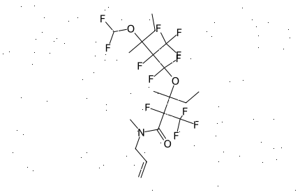 C=CCN(C)C(=O)C(F)(C(F)(F)F)C(C)(CC)OC(F)(F)C(F)(C(F)(F)F)C(C)(CC)OC(F)F